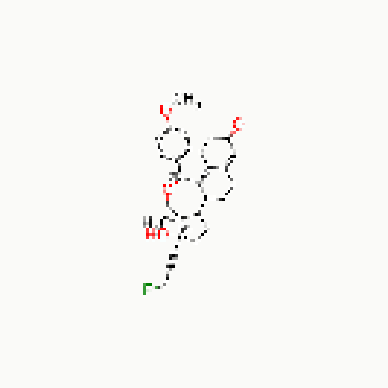 COc1ccc([C@@H]2OCC3(C)C(CC[C@@]3(O)C#CCF)C3CCC4=CC(=O)CCC4=C32)cc1